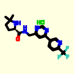 CC1(C)CC[C@@H](C(=O)NCc2cc(-c3ccc(C(F)(F)F)nc3)ncn2)N1.Cl